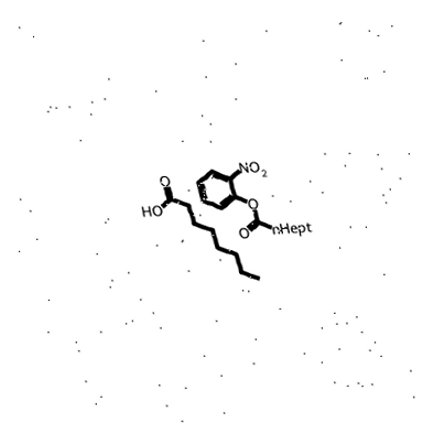 CCCCCCCC(=O)O.CCCCCCCC(=O)Oc1ccccc1[N+](=O)[O-]